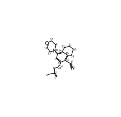 C=C(C)CSc1cc(N2CCOCC2)c2c(c1C#N)CCCC2